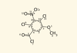 COc1cc(C(=O)Cl)c(Cl)c([N+](=O)[O-])c1Cl